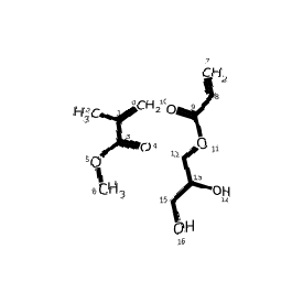 C=C(C)C(=O)OC.C=CC(=O)OCC(O)CO